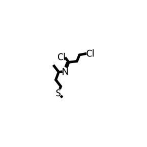 CSCCC(C)N=C(Cl)CCCl